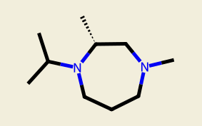 CC(C)N1CCCN(C)C[C@H]1C